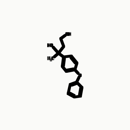 CC(O)(CCO)c1ccc(Oc2ccccc2)cc1